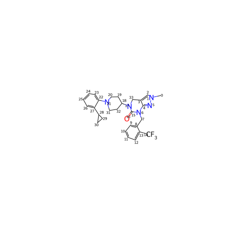 Cn1cc2c(n1)N(Cc1ccccc1C(F)(F)F)C(=O)N(C1CCN(c3ccccc3C3CC3)CC1)C2